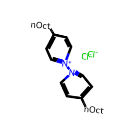 CCCCCCCCc1cc[n+](-[n+]2ccc(CCCCCCCC)cc2)cc1.[Cl-].[Cl-]